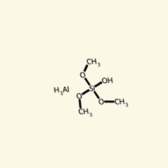 CO[Si](O)(OC)OC.[AlH3]